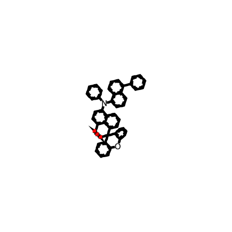 c1ccc(-c2cccc3c(N(c4ccccc4)c4ccc5c6c(cccc46)C4(c6ccccc6Oc6ccccc64)c4ccccc4-5)cccc23)cc1